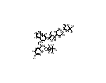 Cc1c(-c2cc(OC(CO[Si](C)(C)C(C)(C)C)c3ccc(F)cn3)c3ccnn3c2)nnn1C1CCN(C(=O)OC(C)(C)C)CC1